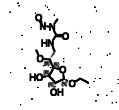 CCO[C@H]1O[C@H]([C@@H](CNC(=O)N(C)N=O)OC)[C@H](O)[C@H]1O